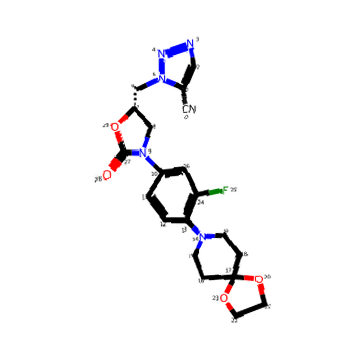 N#Cc1cnnn1C[C@@H]1CN(c2ccc(N3CCC4(CC3)OCCO4)c(F)c2)C(=O)O1